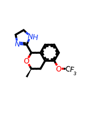 C[C@@H]1Cc2c(OC(F)(F)F)cccc2C(C2=NCCN2)O1